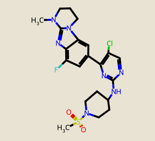 CN1CCCn2c1nc1c(F)cc(-c3nc(NC4CCN(S(C)(=O)=O)CC4)ncc3Cl)cc12